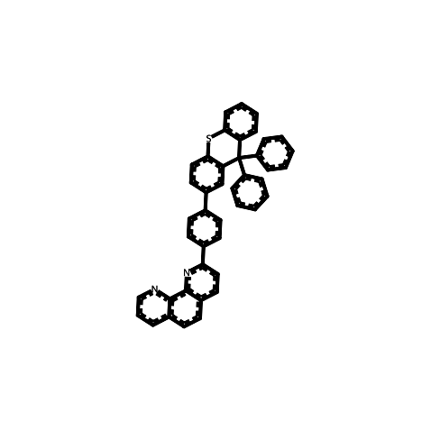 c1ccc(C2(c3ccccc3)c3ccccc3Sc3ccc(-c4ccc(-c5ccc6ccc7cccnc7c6n5)cc4)cc32)cc1